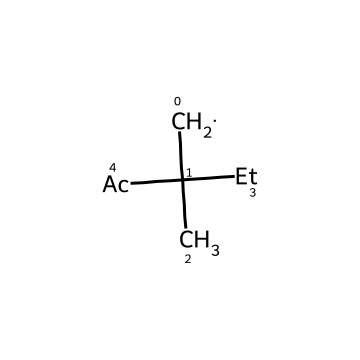 [CH2]C(C)(CC)C(C)=O